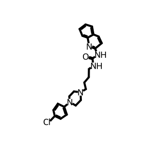 O=C(NCCCCN1CCN(c2ccc(Cl)cc2)CC1)Nc1ccc2ccccc2n1